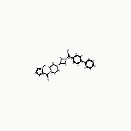 Cn1cccc1C(=O)N1CCN(C2CN(C(=O)c3ccc(-c4ccccc4)cc3)C2)CC1